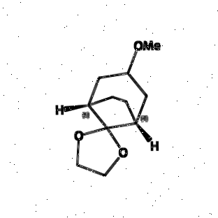 COC1C[C@H]2CC[C@@H](C1)C21OCCO1